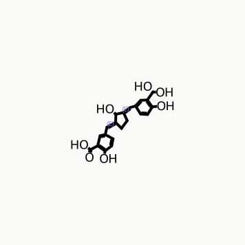 O=C(O)c1cc(/C=C2\CC/C(=C\c3ccc(O)c(C(O)O)c3)C2O)ccc1O